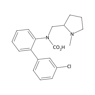 CN1CCCC1CN(C(=O)O)c1ccccc1-c1cccc(Cl)c1